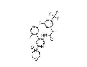 Cc1ccccc1-c1cc([N+]2([O-])CCOCC2)ncc1NC(=O)C(C)c1cc(F)cc(C(F)(F)F)c1